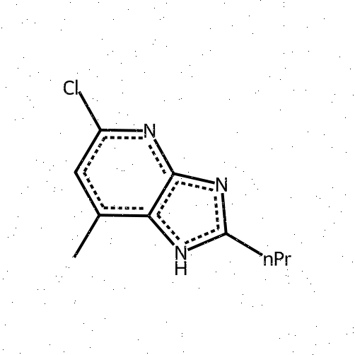 CCCc1nc2nc(Cl)cc(C)c2[nH]1